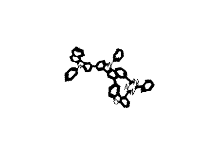 c1ccc(-c2nc(-c3ccccc3)nc(-c3cccc4oc5ccc(-c6ccc7c(c6)c6cc(-c8ccc9c(c8)c8c%10ccccc%10ccc8n9-c8ccccc8)ccc6n7-c6ccccc6)cc5c34)n2)cc1